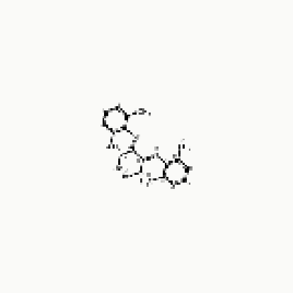 Cc1cccc(C)c1N=C(CBr)C(CBr)=Nc1c(C)cccc1C